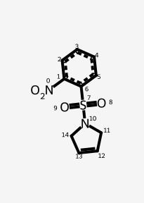 O=[N+]([O-])c1ccccc1S(=O)(=O)N1CC=CC1